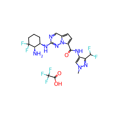 Cn1cc(NC(=O)c2ccc3cnc(N[C@@H]4CCCC(F)(F)[C@@H]4N)nn23)c(C(F)F)n1.O=C(O)C(F)(F)F